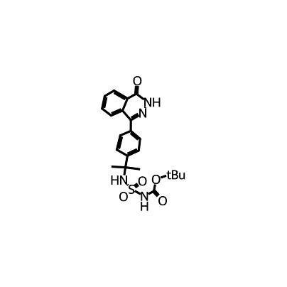 CC(C)(C)OC(=O)NS(=O)(=O)NC(C)(C)c1ccc(-c2n[nH]c(=O)c3ccccc23)cc1